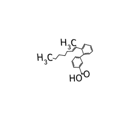 CCCCCC=C(C)c1ccccc1-c1cccc(C(=O)O)c1